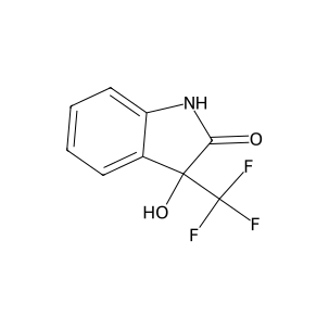 O=C1Nc2ccccc2C1(O)C(F)(F)F